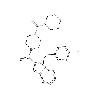 O=C(c1cc2ccccc2n1Cc1ccc(F)cc1)N1CCC(C(=O)N2CCCCC2)CC1